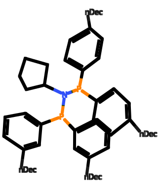 CCCCCCCCCCc1ccc(P(c2ccc(CCCCCCCCCC)cc2)N(C2CCCC2)P(c2cccc(CCCCCCCCCC)c2)c2cccc(CCCCCCCCCC)c2)cc1